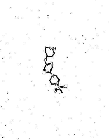 CS(=O)(=O)N1CCN(c2cnc(OC3CCNCC3)cn2)CC1